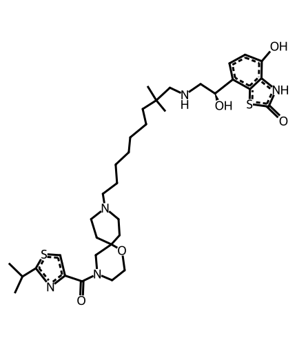 CC(C)c1nc(C(=O)N2CCOC3(CCN(CCCCCCCC(C)(C)CNC[C@H](O)c4ccc(O)c5[nH]c(=O)sc45)CC3)C2)cs1